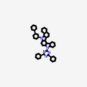 c1ccc(-c2cccc(-n3c4ccc5c(c6ccccc6n5-c5nc(-c6ccccc6)nc(-c6ccccc6)n5)c4c4ccc5ccccc5c43)c2)cc1